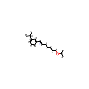 CC(C)OCCCCC/C=C/c1cccc(C(C)C)c1